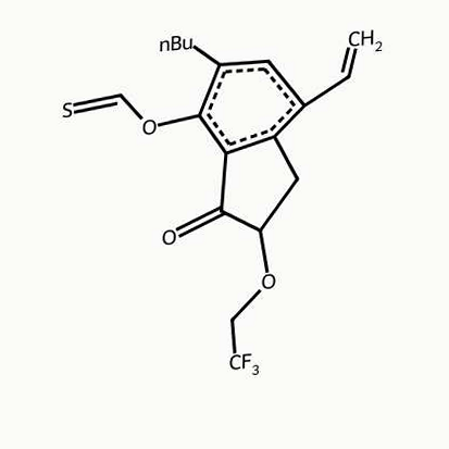 C=Cc1cc(CCCC)c(OC=S)c2c1CC(OCC(F)(F)F)C2=O